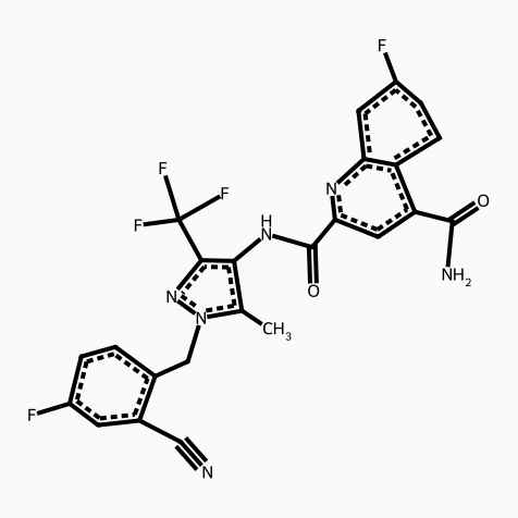 Cc1c(NC(=O)c2cc(C(N)=O)c3ccc(F)cc3n2)c(C(F)(F)F)nn1Cc1ccc(F)cc1C#N